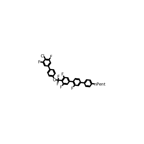 CCCCCc1ccc(-c2ccc(-c3cc(F)c(C(F)(F)Oc4ccc(-c5cc(F)c(Cl)c(F)c5)cc4)c(F)c3)c(F)c2)cc1